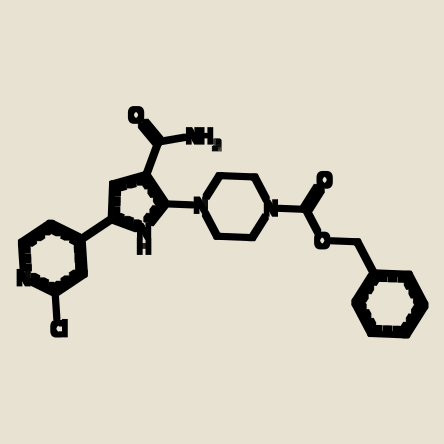 NC(=O)c1cc(-c2ccnc(Cl)c2)[nH]c1N1CCN(C(=O)OCc2ccccc2)CC1